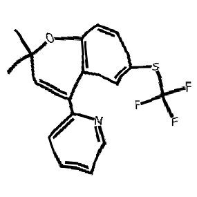 CC1(C)C=C(c2ccccn2)c2cc(SC(F)(F)F)ccc2O1